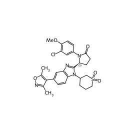 COc1ccc(N2C(=O)CC[C@H]2c2nc3cc(-c4c(C)noc4C)ccc3n2C2CCCS(=O)(=O)C2)cc1Cl